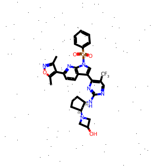 Cc1noc(C)c1-c1ccc2c(-c3nc(N[C@H]4CCC[C@@H]4N4CC(O)C4)ncc3C(F)(F)F)cn(S(=O)(=O)c3ccccc3)c2n1